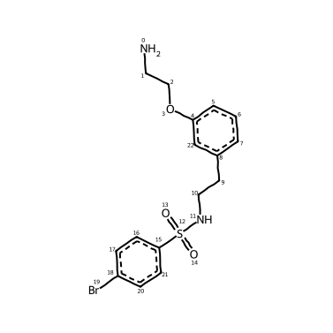 NCCOc1cccc(CCNS(=O)(=O)c2ccc(Br)cc2)c1